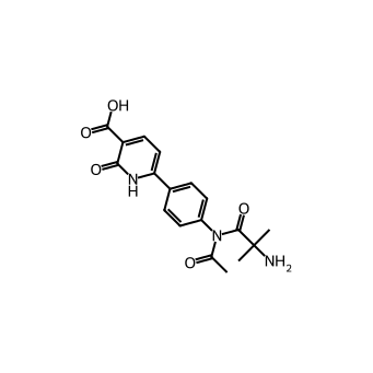 CC(=O)N(C(=O)C(C)(C)N)c1ccc(-c2ccc(C(=O)O)c(=O)[nH]2)cc1